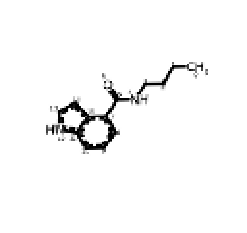 CCCCNC(=O)c1cccc2[nH]ccc12